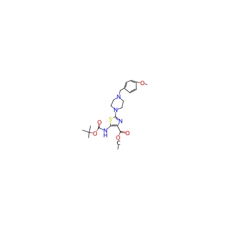 CCOC(=O)c1nc(N2CCN(Cc3ccc(OC)cc3)CC2)sc1NC(=O)OC(C)(C)C